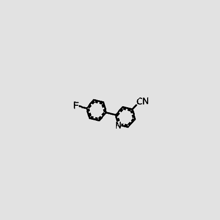 N#Cc1ccnc(-c2ccc(F)cc2)c1